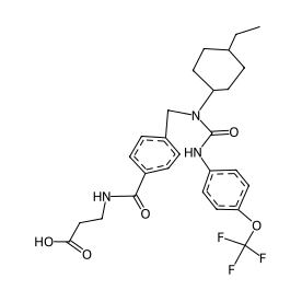 CCC1CCC(N(Cc2ccc(C(=O)NCCC(=O)O)cc2)C(=O)Nc2ccc(OC(F)(F)F)cc2)CC1